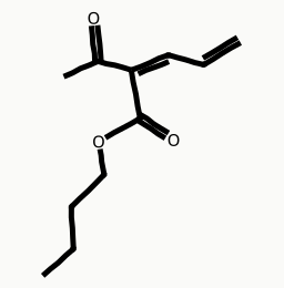 C=CC=C(C(C)=O)C(=O)OCCCC